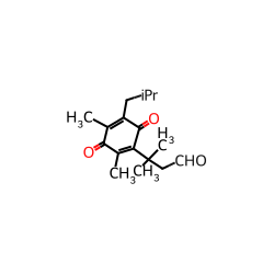 CC1=C(CC(C)C)C(=O)C(C(C)(C)CC=O)=C(C)C1=O